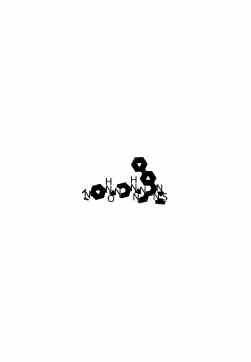 CN(C)c1ccc(NC(=O)N2CCC(Nc3nccc(-c4c(-c5ccc(-c6ccccc6)cc5)nc5sccn45)n3)CC2)cc1